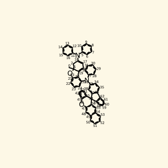 CC12CC(N(c3ccccc3)c3ccccc3)=CC=C1c1c(cccc1N(c1ccccc1)c1ccc3c(c1)C1(c4ccccc4Oc4cc5ccccc5cc41)c1ccccc1-3)O2